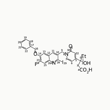 CCC(O)(CC(=O)O)c1ccn(Cc2cc3cc(OCc4ccccc4)c(F)cc3nc2I)c(=O)c1